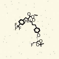 CCOC(=O)C(Cc1ccc(C(F)(F)F)cc1)NC(=O)CCc1ccc(OC[C@@H]2OC(C)(C)O[C@H]2CF)cc1